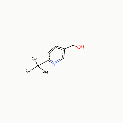 [2H]C([2H])([2H])c1ccc(CO)cn1